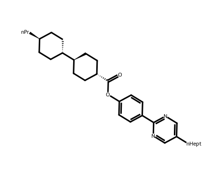 CCCCCCCc1cnc(-c2ccc(OC(=O)[C@H]3CC[C@H]([C@H]4CC[C@H](CCC)CC4)CC3)cc2)nc1